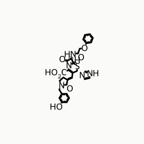 O=C(COc1ccccc1)N[C@@H]1C(=O)N2C(C(=O)O)=C(C=C3CCN(Cc4cccc(O)c4)C3=O)CS[C@H]12.c1c[nH]cn1